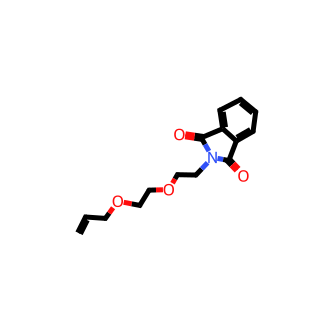 C=CCOCCOCCN1C(=O)c2ccccc2C1=O